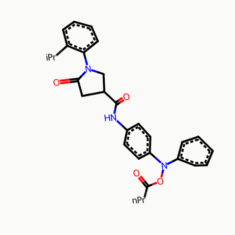 CCCC(=O)ON(c1ccccc1)c1ccc(NC(=O)C2CC(=O)N(c3ccccc3C(C)C)C2)cc1